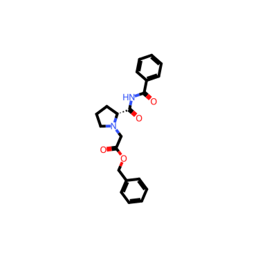 O=C(CN1CCC[C@@H]1C(=O)NC(=O)c1ccccc1)OCc1ccccc1